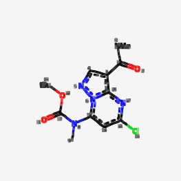 CNC(=O)c1cnn2c(N(C)C(=O)OC(C)(C)C)cc(Cl)nc12